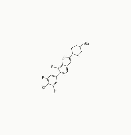 CCCCC1CCC(c2ccc3c(F)c(-c4cc(F)c(Cl)c(F)c4)ccc3c2)CC1